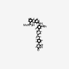 CNC(=O)c1ccccc1Nc1cc(Nc2cc(C)c(N3CCC(N(C)Cc4ccc(N5CCC(=O)NC5=O)cc4)CC3)cc2OC(C)C)ncc1C(F)(F)F